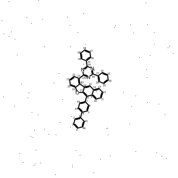 c1ccc(-c2ccc(-c3c4ccccc4cc4c3oc3cccc(-c5nc(-c6ccccc6)nc(-c6ccccc6)n5)c34)cc2)cc1